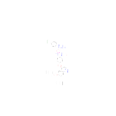 CCCc1cc2nccc(Oc3ccc(NC(=O)C4(C(=O)Nc5ccc(F)cc5)CC4)cc3)c2cc1OC